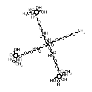 CC(=O)NC1C(OCCOCCOCCNC(=O)CCOCC(COCCC(=O)NCCOCCOCCOC2CC(CO)C(O)C(O)C2NC(C)=O)(COCCC(=O)NCCOCCOCCOC2CC(CO)C(O)C(O)C2NC(C)=O)NC(=O)CCOCCOCCOCCOCCN)CC(CO)C(O)C1O